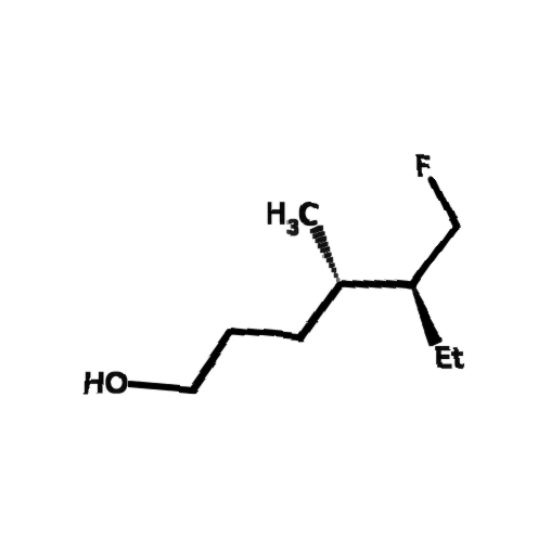 CC[C@H](CF)[C@@H](C)CCCO